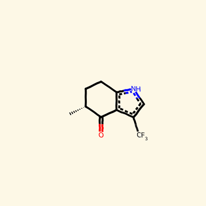 C[C@@H]1CCc2[nH]cc(C(F)(F)F)c2C1=O